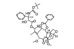 COC1C[C@H]2OC[C@@]2(OC(C)=O)[C@H]2[C@H](OC(=O)c3ccccc3)[C@@]3(O)CC(=C(C)[C@@H](OC(=O)[C@H](O)[C@@](C)(NC(=O)OC(C)(C)C)c4ccccc4)C3)[C@@H](OC)C(=O)[C@]12C